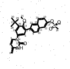 C=C1C=CN(c2cc(-c3ccc4cc(OS(C)(=O)=O)ccc4c3)c(OC)c(C(C)(C)C)c2)C(=O)N1